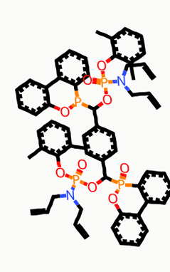 C=CCN(CC=C)P(=O)(Oc1c(C)cccc1C)OC(c1ccc(C(OP(=O)(Oc2c(C)cccc2C)N(CC=C)CC=C)P2(=O)Oc3ccccc3-c3ccccc32)cc1)P1Oc2ccccc2-c2ccccc21